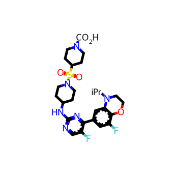 CC(C)N1CCOc2c(F)cc(-c3nc(NC4CCN(S(=O)(=O)C5CCN(C(=O)O)CC5)CC4)ncc3F)cc21